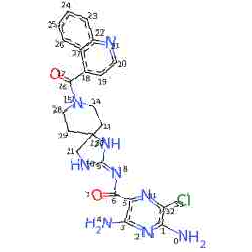 Nc1nc(N)c(C(=O)/N=C2\NCC3(CCN(C(=O)c4ccnc5ccccc45)CC3)N2)nc1Cl